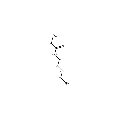 CC(C)(C)CNCCNC(=O)CC(C)(C)C